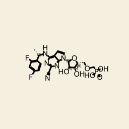 C[C@H](Nc1nc(C#N)nc2c1ccn2[C@@H]1O[C@H](COCP(=O)(O)O)[C@@H](O)[C@H]1O)c1ccc(F)cc1F